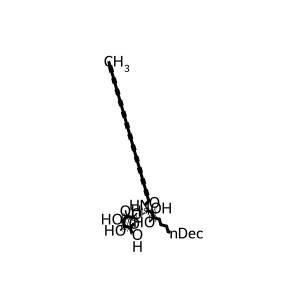 CC#CC#CC#CC#CC#CC#CC#CC#CC#CC#CC#CC#CC(=O)N[C@@H](CO[C@H]1OC(CO)[C@@H](O)[C@@H](O)[C@H]1O)[C@H](O)[C@H](O)CCCCCCCCCCCCCC